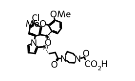 COc1cccc([C@H]2O[C@H](CCC(=O)N3CCN(C(=O)C(=O)O)CC3)c3cccn3-c3ccc(Cl)cc32)c1OC